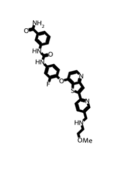 COCCNCc1ccc(-c2cc3nccc(Oc4ccc(NC(=O)Nc5cccc(C(N)=O)c5)cc4F)c3s2)nc1